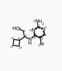 Nc1ncc(Br)c(NC(CO)C2CCC2)n1